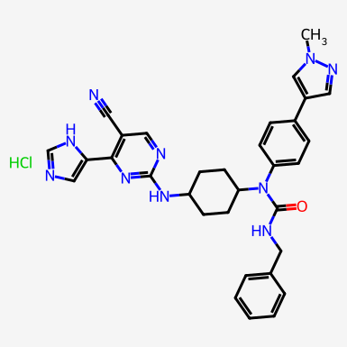 Cl.Cn1cc(-c2ccc(N(C(=O)NCc3ccccc3)C3CCC(Nc4ncc(C#N)c(-c5cnc[nH]5)n4)CC3)cc2)cn1